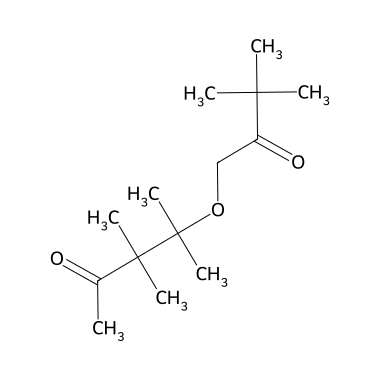 CC(=O)C(C)(C)C(C)(C)OCC(=O)C(C)(C)C